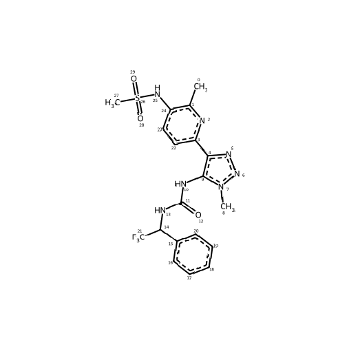 Cc1nc(-c2nnn(C)c2NC(=O)NC(c2ccccc2)C(F)(F)F)ccc1NS(C)(=O)=O